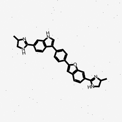 CC1CNC(c2ccc3c(-c4ccc(-c5cc6ccc(C7=NC(C)CN7)cc6o5)cc4)c[nH]c3c2)=N1